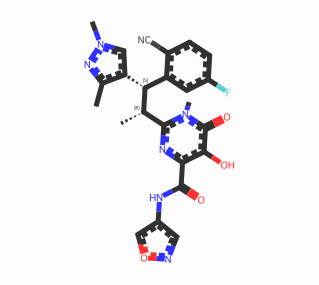 Cc1nn(C)cc1[C@H](c1cc(F)ccc1C#N)[C@@H](C)c1nc(C(=O)Nc2cnoc2)c(O)c(=O)n1C